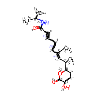 CC(/C=C/C=C/C(=O)NC(C)C(C)(C)C)=C\C(C)C1CC=C(O)C(=O)O1